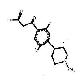 CN1CCC(c2cc(F)c(C(=O)CC(=O)O)cc2F)CC1